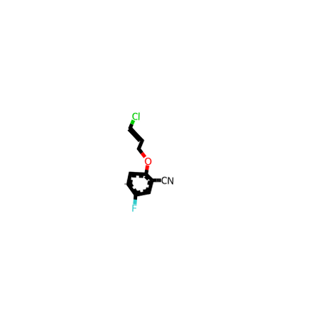 N#Cc1cc(F)[c]cc1OCC=CCl